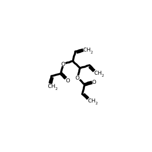 C=CC(=O)OC(C=C)C(C=C)OC(=O)C=C